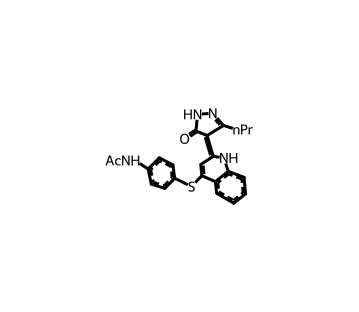 CCCC1=NNC(=O)C1=C1C=C(Sc2ccc(NC(C)=O)cc2)c2ccccc2N1